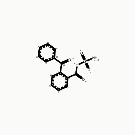 NS(=O)(=O)OC(=O)c1ccccc1C(=O)c1ccccc1